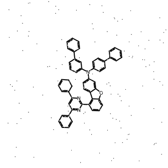 C1=CCCC(c2cc(-c3ccccc3)nc(-c3cccc4oc5cc(N(c6ccc(-c7ccccc7)cc6)c6cccc(-c7ccccc7)c6)ccc5c34)n2)=C1